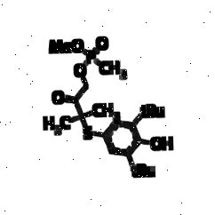 COP(C)(=O)OCC(=O)C(C)(C)Sc1cc(C(C)(C)C)c(O)c(C(C)(C)C)c1